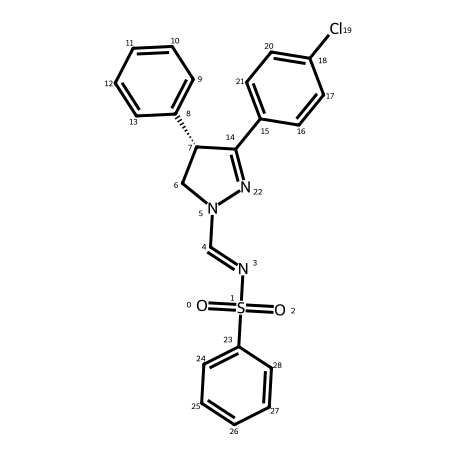 O=S(=O)(/N=C/N1C[C@H](c2ccccc2)C(c2ccc(Cl)cc2)=N1)c1ccccc1